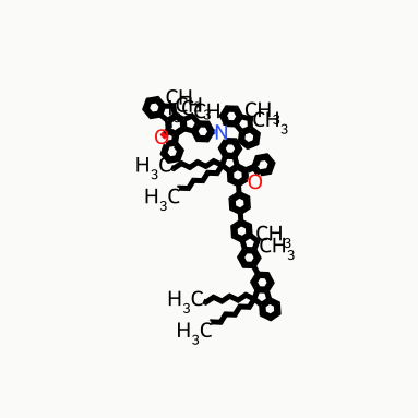 CCCCCCCC1(CCCCCCC)c2ccccc2-c2ccc(-c3ccc4c(c3)C(C)(C)c3cc(-c5ccc(-c6cc7c(c8c6oc6ccccc68)-c6ccc(N(c8ccc9c(c8)C(C)(C)c8c%10c(c%11oc%12ccccc%12c%11c8-9)-c8ccccc8C%10(C)C)c8cccc9c8-c8ccccc8C9(C)C)cc6C7(CCCCCCC)CCCCCCC)cc5)ccc3-4)cc21